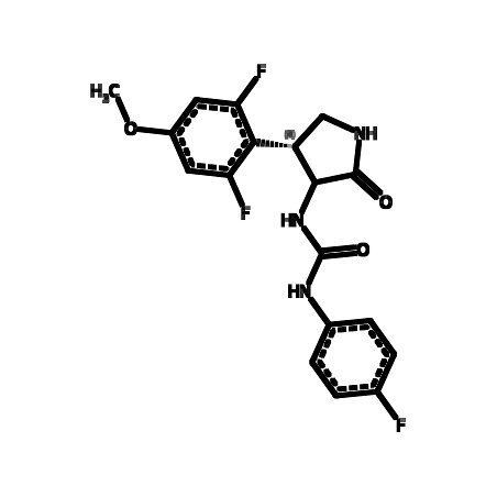 COc1cc(F)c([C@@H]2CNC(=O)C2NC(=O)Nc2ccc(F)cc2)c(F)c1